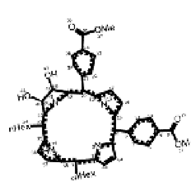 CCCCCCc1c2nc(c(-c3ccc(C(=O)OC)cc3)c3ccc([nH]3)c(-c3ccc(C(=O)OC)cc3)c3nc(c(CCCCCC)c4ccc1[nH]4)[C@@H](O)[C@H]3O)C=C2